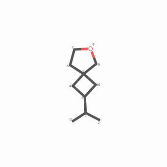 CC(C)C1CC2(CCOC2)C1